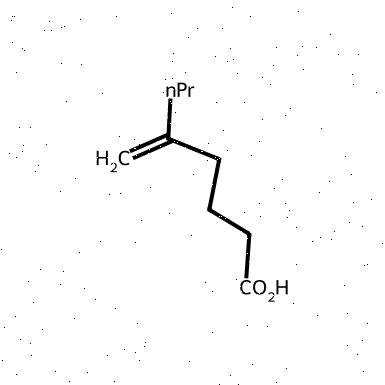 C=C(CCC)CCCC(=O)O